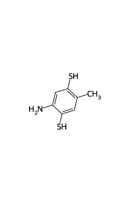 Cc1cc(S)c(N)cc1S